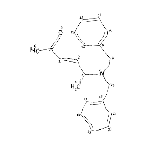 C[C@H](/C=C/C(=O)O)N(Cc1ccccc1)Cc1ccccc1